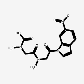 CN(CC(=O)N(C)CC(=O)n1ccc2ccc([N+](=O)[O-])cc21)C(=O)O